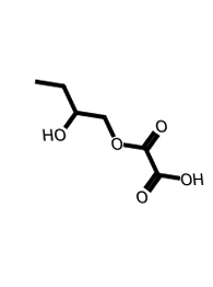 CCC(O)COC(=O)C(=O)O